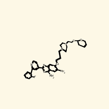 Nc1cc2c(N)nc(-c3ccnc(-c4ccccc4F)c3)nc2cc1OCCCN1CCN(CCOC2CCCCO2)CC1